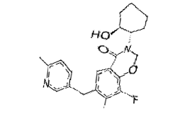 Cc1ccc(Cc2cc3c(c(F)c2C)OCN([C@H]2CCCC[C@@H]2O)C3=O)cn1